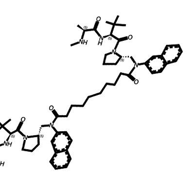 CN[C@@H](C)C(=O)N[C@H](C(=O)N1CCC[C@H]1CN(C(=O)CCCCCCCCC(=O)N(C[C@@H]1CCCN1C(=O)[C@@H](NC(=O)[C@H](C)NC)C(C)(C)C)c1ccc2ccccc2c1)c1ccc2ccccc2c1)C(C)(C)C